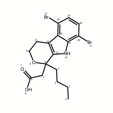 CCCCC1(CC(=O)O)OCCc2c1[nH]c1c(Br)ccc(Br)c21